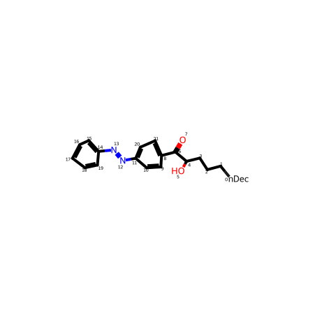 CCCCCCCCCCCCCC(O)C(=O)c1ccc(/N=N/c2ccccc2)cc1